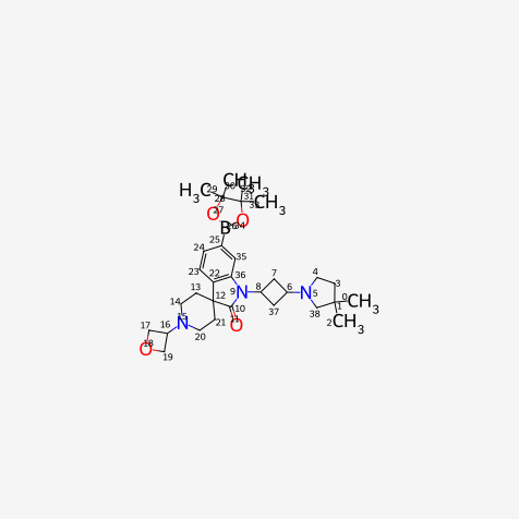 CC1(C)CCN(C2CC(N3C(=O)C4(CCN(C5COC5)CC4)c4ccc(B5OC(C)(C)C(C)(C)O5)cc43)C2)C1